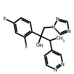 CC(c1ccnnc1)C(O)(Cn1cncn1)c1ccc(F)cc1F